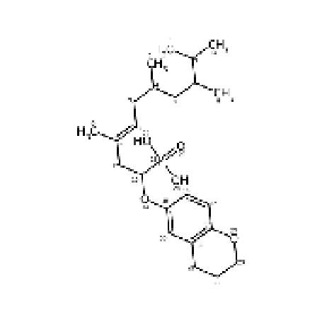 CC(=CCC(C)CC(C)C(C)C)CC(Oc1ccc2c(c1)CCCO2)P(=O)(O)O